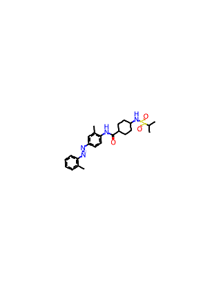 Cc1ccccc1/N=N/c1ccc(NC(=O)C2CCC(NS(=O)(=O)C(C)C)CC2)c(C)c1